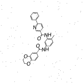 Cc1ccc(NC(=O)c2ccc3c(c2)OCCO3)cc1NC(=O)c1ccc(-c2ccccc2)nc1